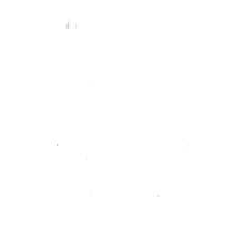 CC(C)C1CC(Cc2cccc(Cl)c2)C1